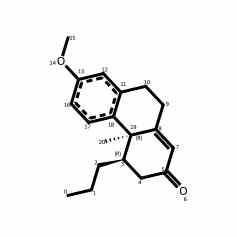 CCC[C@@H]1CC(=O)C=C2CCc3cc(OC)ccc3[C@@]21C